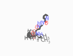 CC(C)C[C@H](NC(=O)C1CC(CNC(=O)c2ccccn2)=NO1)B1O[C@@H]2C[C@@H]3C[C@@H](C3(C)C)[C@]2(C)O1